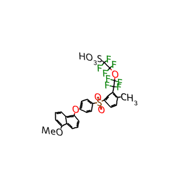 COc1cccc2c(Oc3ccc(S(=O)(=O)c4ccc(C)c(C(F)(F)C(F)(F)OC(F)(F)C(F)(F)S(=O)(=O)O)c4)cc3)cccc12